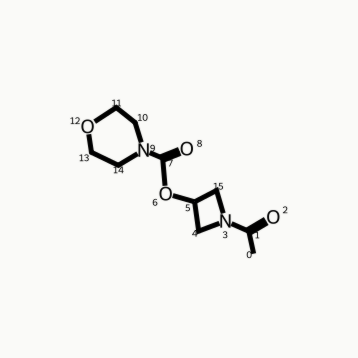 CC(=O)N1CC(OC(=O)N2CCOCC2)C1